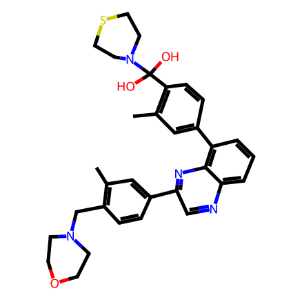 Cc1cc(-c2cnc3cccc(-c4ccc(C(O)(O)N5CCSCC5)c(C)c4)c3n2)ccc1CN1CCOCC1